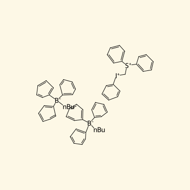 CCCC[B-](c1ccccc1)(c1ccccc1)c1ccccc1.CCCC[B-](c1ccccc1)(c1ccccc1)c1ccccc1.c1ccc([I+]C[S+](c2ccccc2)c2ccccc2)cc1